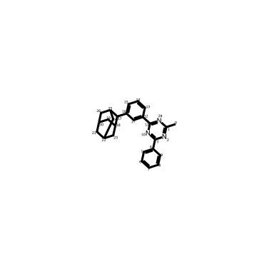 Cc1nc(-c2ccccc2)nc(-c2cccc(C3C4CC5CC(C4)CC3C5)c2)n1